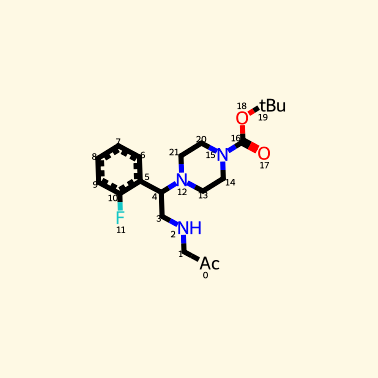 CC(=O)CNCC(c1ccccc1F)N1CCN(C(=O)OC(C)(C)C)CC1